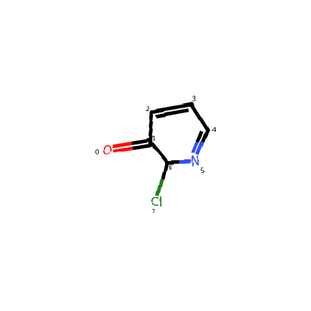 O=C1C=CC=NC1Cl